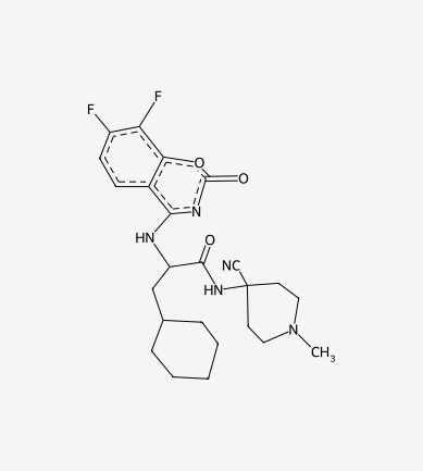 CN1CCC(C#N)(NC(=O)C(CC2CCCCC2)Nc2nc(=O)oc3c(F)c(F)ccc23)CC1